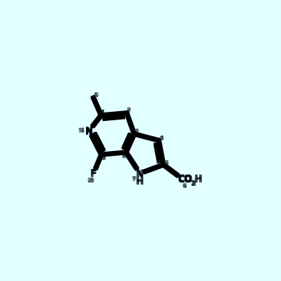 Cc1cc2cc(C(=O)O)[nH]c2c(F)n1